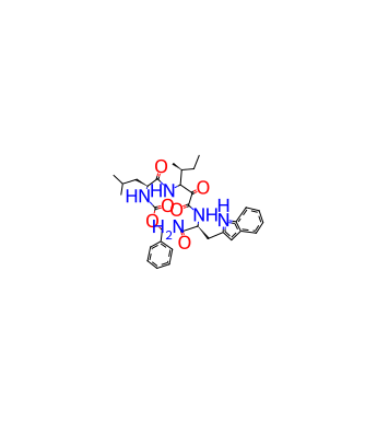 CC[C@H](C)C(NC(=O)[C@H](CC(C)C)NC(=O)OCc1ccccc1)C(=O)C(=O)N[C@@H](Cc1cc2ccccc2[nH]1)C(N)=O